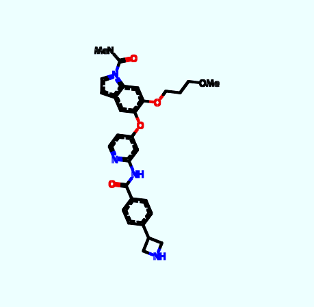 CNC(=O)n1ccc2cc(Oc3ccnc(NC(=O)c4ccc(C5CNC5)cc4)c3)c(OCCCOC)cc21